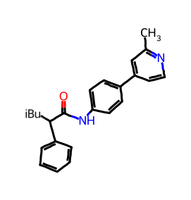 CCC(C)C(C(=O)Nc1ccc(-c2ccnc(C)c2)cc1)c1ccccc1